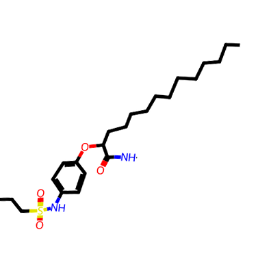 CCCCCCCCCCCCC(Oc1ccc(NS(=O)(=O)CCCC)cc1)C([NH])=O